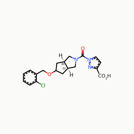 O=C(O)c1ccn(C(=O)N2C[C@H]3CC(OCc4ccccc4Cl)C[C@H]3C2)n1